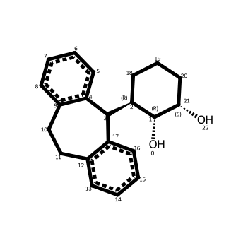 O[C@@H]1[C@@H](C2c3ccccc3CCc3ccccc32)CCC[C@@H]1O